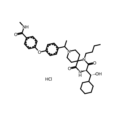 CCCCN1C(=O)[C@@H]([C@H](O)C2CCCCC2)NC(=O)C12CCN(C(C)c1ccc(Oc3ccc(C(=O)NC)cc3)cc1)CC2.Cl